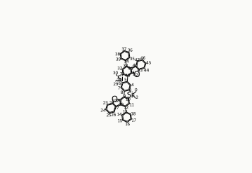 C[Si]1(C)c2cc3c(cc2-c2c1cc(-c1ccccc1)c1c2oc2ccccc21)[Si](C)(C)c1cc(-c2ccccc2)c2c(oc4ccccc42)c1-3